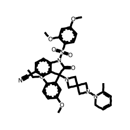 CCOc1ccc(OC)cc1C1(N2CC3(CN(N4CC=CC=C4C)C3)C2)C(=O)N(S(=O)(=O)c2ccc(OC)cc2OC)c2ccc(C#N)cc21